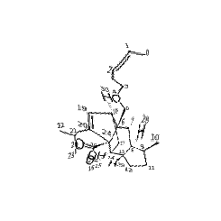 C/C=C\COC[C@]12C[C@H]3[C@@H](C)CC[C@@H]3[C@]3(C=O)C[C@H]1C=C(C(C)C)[C@]23C(=O)O